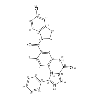 Cc1cc2c(cc1C(=O)N1CCc3cc(Cl)ccc31)[nH]c(=O)c1nnc(-c3ccccc3)n12